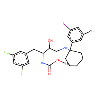 CC(C)(C)OC(=O)NC(Cc1cc(F)cc(F)c1)C(O)CNC1(c2cc(I)cc(C(C)(C)C)c2)CCCCC1